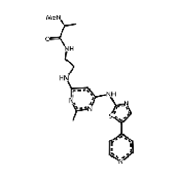 CN[C@@H](C)C(=O)NCCNc1cc(Nc2ncc(-c3ccncc3)s2)nc(C)n1